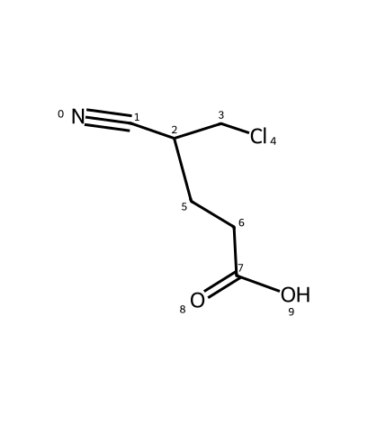 N#CC(CCl)CCC(=O)O